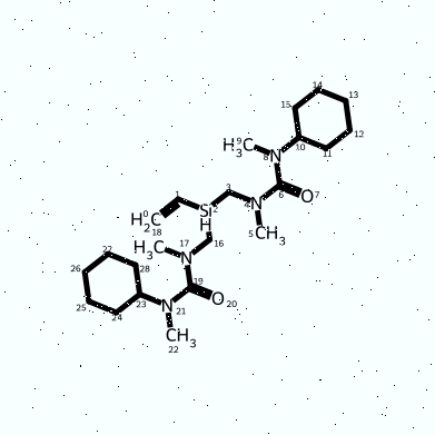 C=C[SiH](CN(C)C(=O)N(C)C1CCCCC1)CN(C)C(=O)N(C)C1CCCCC1